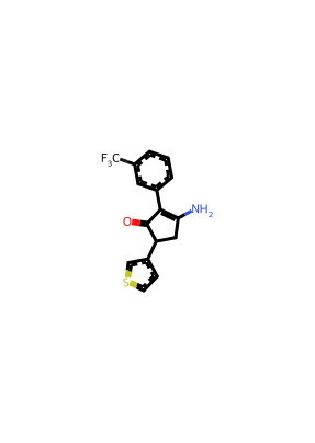 NC1=C(c2cccc(C(F)(F)F)c2)C(=O)C(c2ccsc2)C1